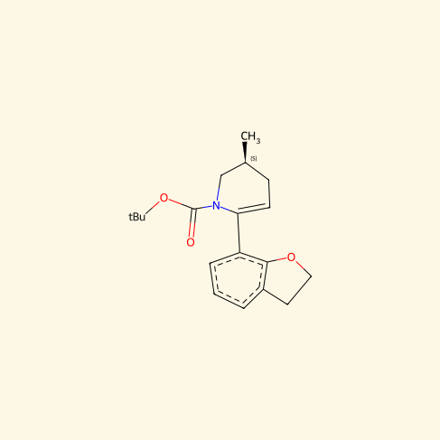 C[C@H]1CC=C(c2cccc3c2OCC3)N(C(=O)OC(C)(C)C)C1